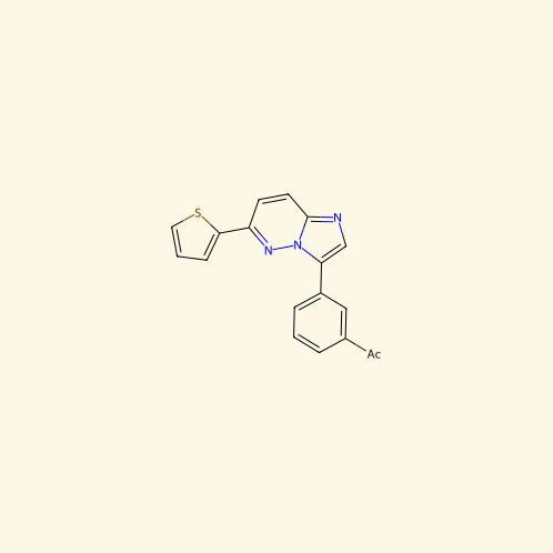 CC(=O)c1cccc(-c2cnc3ccc(-c4cccs4)nn23)c1